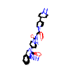 O=C(CNC(=O)N1CCC(N2Cc3ccccc3NC2=O)CC1)N1CCC(C2CCNCC2)CC1